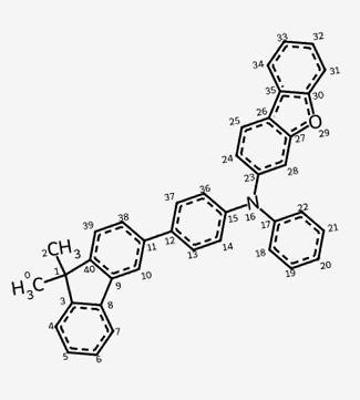 CC1(C)c2ccccc2-c2cc(-c3ccc(N(c4ccccc4)c4ccc5c(c4)oc4ccccc45)cc3)ccc21